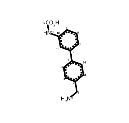 NCc1ccc(-c2cccc(NC(=O)O)c2)cc1